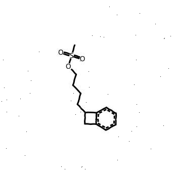 CS(=O)(=O)OCCCCC1Cc2ccccc21